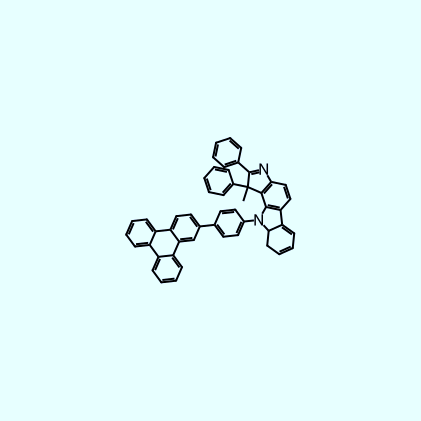 CC1(c2ccccc2)C(c2ccccc2)=Nc2ccc3c(c21)N(c1ccc(-c2ccc4c5ccccc5c5ccccc5c4c2)cc1)C1CC=CC=C31